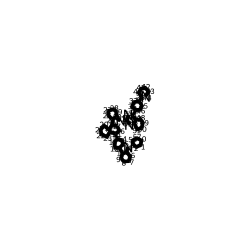 c1ccc(-n2c3ccccc3c3ccc(-c4cc5c(c6ccccc46)c4ccccc4n5-c4nc(-c5ccc(-c6ccccn6)cc5)c5ccccc5n4)cc32)cc1